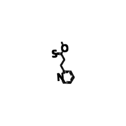 COC(=S)CCc1ccccn1